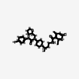 Cc1cc(Cl)nc(C)c1C(=O)NCC[C@@H](C)N1CCC(N(CC2CCCO2)C(=O)Nc2ccc(F)cc2)CC1